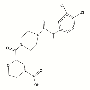 O=C(O)N1CCOC(C(=O)N2CCN(C(=O)Nc3ccc(Cl)c(Cl)c3)CC2)C1